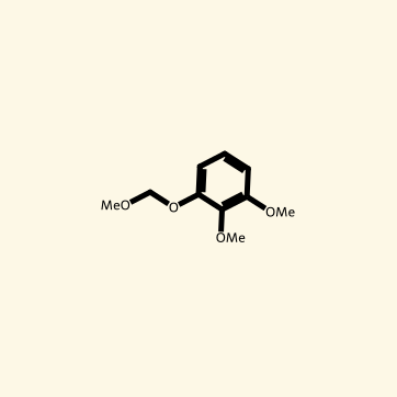 COCOc1cccc(OC)c1OC